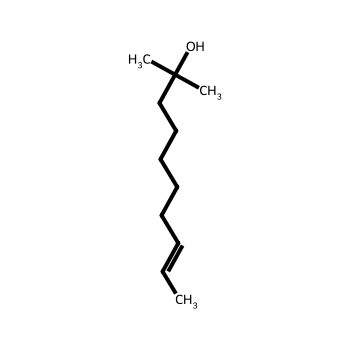 C/C=C/CCCCCC(C)(C)O